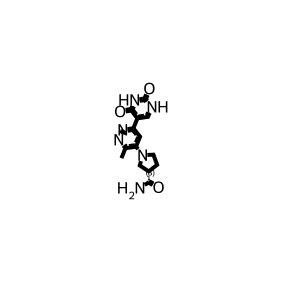 Cc1nnc(-c2c[nH]c(=O)[nH]c2=O)cc1N1CC[C@H](C(N)=O)C1